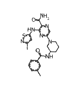 Cc1cccc(C(=O)N[C@@H]2CCCN(c3cnc(C(N)=O)c(Nc4cc(C)ns4)n3)C2)c1